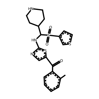 Cc1ccccc1C(=O)c1cnc(NC(C2CCNCC2)S(=O)(=O)c2ccsc2)s1